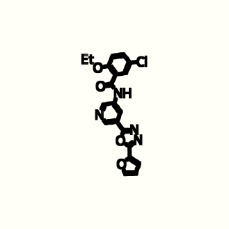 CCOc1ccc(Cl)cc1C(=O)Nc1cncc(-c2nnc(-c3ccco3)o2)c1